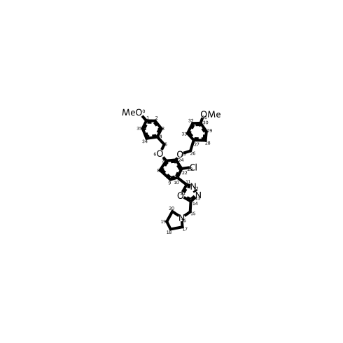 COc1ccc(COc2ccc(-c3nnc(CN4CCCC4)o3)c(Cl)c2OCc2ccc(OC)cc2)cc1